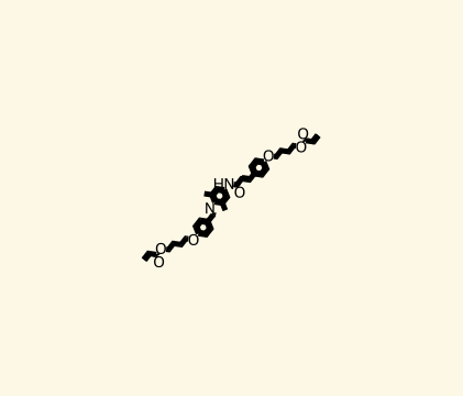 C=CC(=O)OCCCCOc1ccc(/C=C/C(=O)Nc2cc(C)c(/N=C/c3ccc(OCCCCOC(=O)C=C)cc3)c(C)c2)cc1